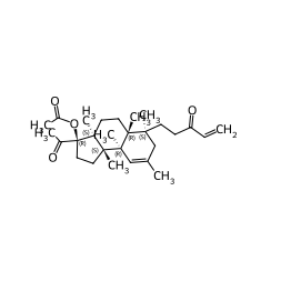 C=CC(=O)CC[C@@]1(C)CC(C)=C[C@@]2(C)[C@]3(C)CC[C@](OC(C)=O)(C(C)=O)[C@@]3(C)CC[C@]12C